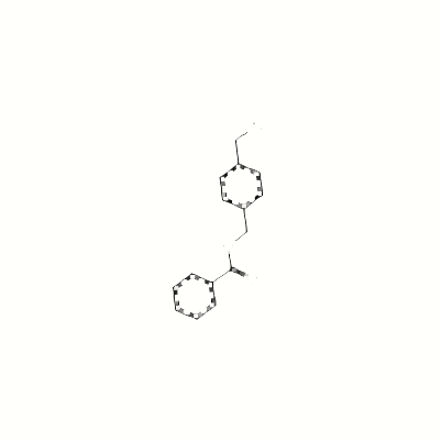 CC(=O)Cc1ccc(COC(=O)c2ccccc2)cc1